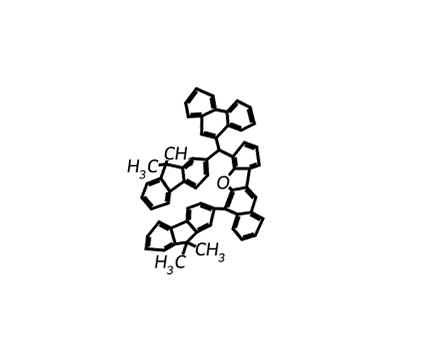 CC1(C)c2ccccc2-c2ccc(-c3c4ccccc4cc4c3oc3c(C(c5ccc6c(c5)C(C)(C)c5ccccc5-6)c5cc6ccccc6c6ccccc56)cccc34)cc21